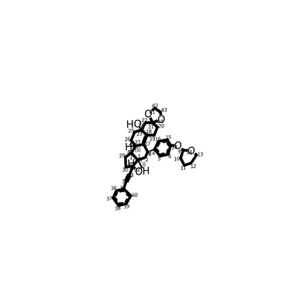 C[C@]12C[C@H](c3ccc(OC4CCCCO4)cc3)C3=C4CCC5(C[C@]4(O)CC[C@H]3[C@@H]1CC[C@@]2(O)C#Cc1ccccc1)OCCO5